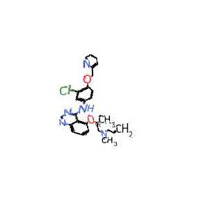 C=CCN(C)C[C@@H](C)Oc1cccc2ncnc(Nc3ccc(OCc4ccccn4)c(Cl)c3)c12